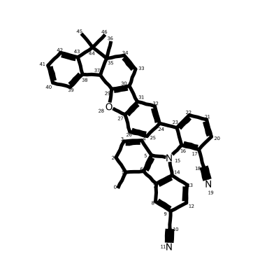 CC1CC=Cc2c1c1cc(C#N)ccc1n2-c1c(C#N)cccc1-c1ccc2oc3c(c2c1)C=CC1(C)C3c2ccccc2C1(C)C